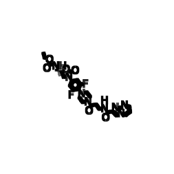 CCOC(=O)NC[C@H]1CN(c2cc(F)c(N3CCN(C(=O)CCNC(=O)c4cn5cccnc5n4)CC3)c(F)c2)C(=O)O1